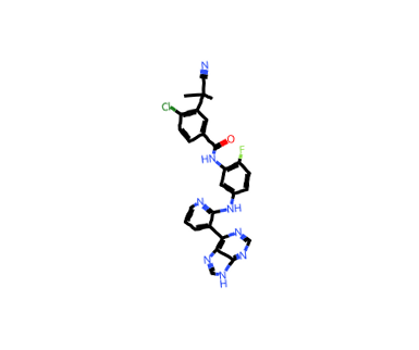 CC(C)(C#N)c1cc(C(=O)Nc2cc(Nc3ncccc3-c3ncnc4[nH]cnc34)ccc2F)ccc1Cl